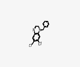 Clc1cc2c(cc1Cl)N(Cc1ccccc1)CC=N2